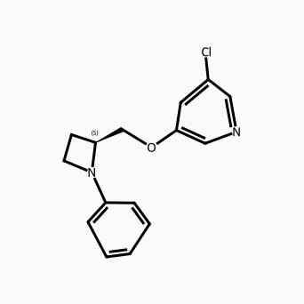 Clc1cncc(OC[C@@H]2CCN2c2ccccc2)c1